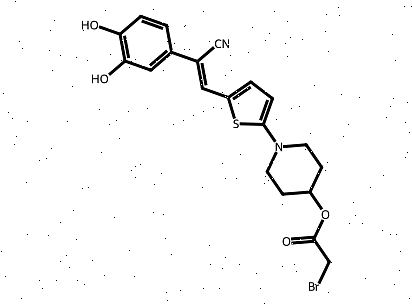 N#C/C(=C\c1ccc(N2CCC(OC(=O)CBr)CC2)s1)c1ccc(O)c(O)c1